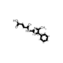 Cc1nc(NC(=O)/C=C/C(=O)O)sc1-c1ccccc1